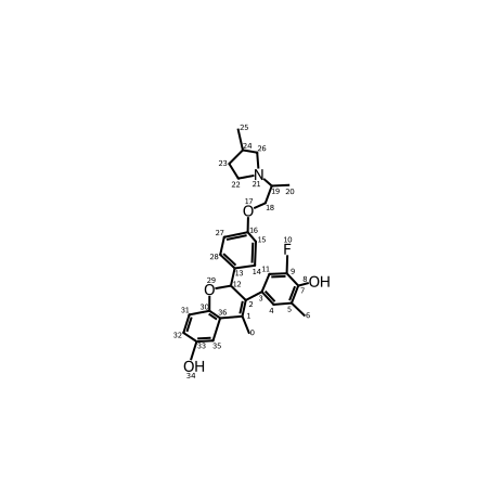 CC1=C(c2cc(C)c(O)c(F)c2)C(c2ccc(OCC(C)N3CCC(C)C3)cc2)Oc2ccc(O)cc21